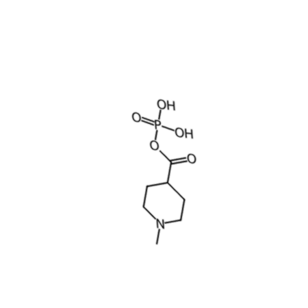 CN1CCC(C(=O)OP(=O)(O)O)CC1